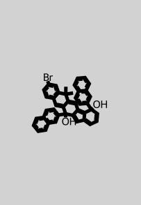 CC1(C)C2=CC3=C4C(=CC=CC4(O)c4ccc5ccccc5c4)C=C3C(O)(c3ccc4ccccc4c3)C2=Cc2ccc(Br)cc21